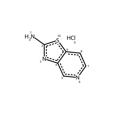 Cl.Nc1nc2cnccc2s1